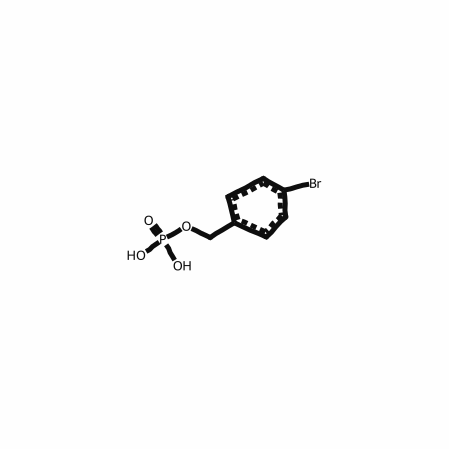 O=P(O)(O)OCc1ccc(Br)cc1